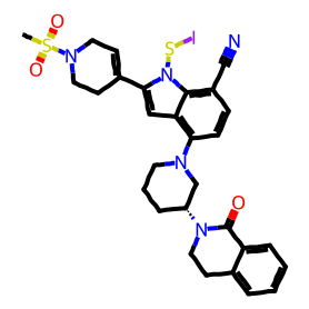 CS(=O)(=O)N1CC=C(c2cc3c(N4CCC[C@@H](N5CCc6ccccc6C5=O)C4)ccc(C#N)c3n2SI)CC1